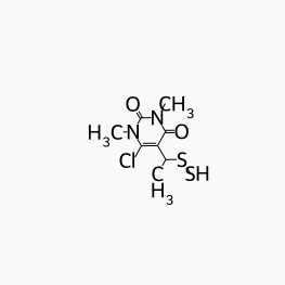 CC(SS)c1c(Cl)n(C)c(=O)n(C)c1=O